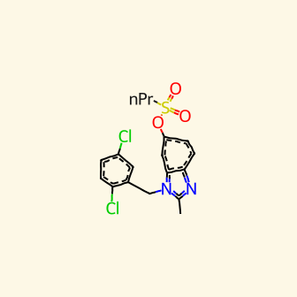 CCCS(=O)(=O)Oc1ccc2nc(C)n(Cc3cc(Cl)ccc3Cl)c2c1